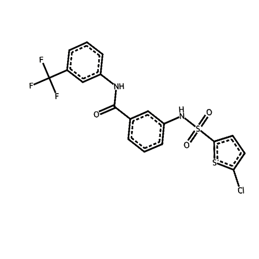 O=C(Nc1cccc(C(F)(F)F)c1)c1cccc(NS(=O)(=O)c2ccc(Cl)s2)c1